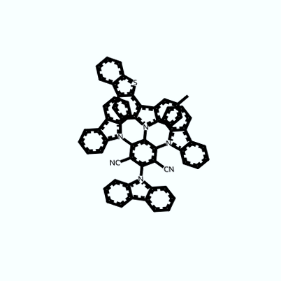 Cc1ccc2c(c1)c1c3sc4ccccc4c3ccc1n2-c1c(-n2c3ccccc3c3ccccc32)c(C#N)c(-n2c3ccccc3c3ccccc32)c(C#N)c1-n1c2ccccc2c2ccccc21